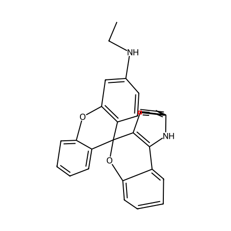 CCNc1ccc2c(c1)Oc1ccccc1C21Oc2ccccc2-c2[nH]c3ccccc3c21